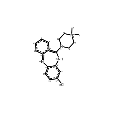 C[N+]1(C)CCN(C2=c3ccccc3=Nc3ccc(Cl)cc3N2)CC1